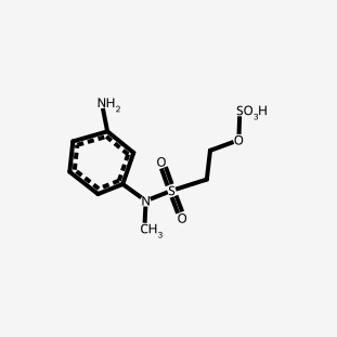 CN(c1cccc(N)c1)S(=O)(=O)CCOS(=O)(=O)O